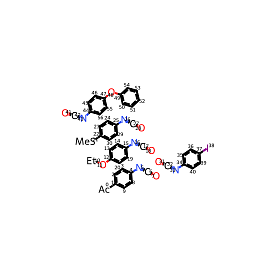 CC(=O)c1ccc(N=C=O)cc1.CCOc1ccc(N=C=O)cc1.CSc1ccc(N=C=O)cc1.O=C=Nc1ccc(I)cc1.O=C=Nc1ccc(Oc2ccccc2)cc1